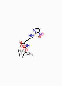 CC(C)(C)OC(=O)NC(CCCCNSc1ncccc1[N+](=O)[O-])C(=O)O